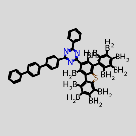 Bc1c(B)c(B)c(-c2c(B)c(-c3nc(-c4ccccc4)nc(-c4ccc(-c5ccc(-c6ccccc6)cc5)cc4)n3)c(B)c3c2sc2c(B)c(B)c(B)c(B)c23)c(B)c1B